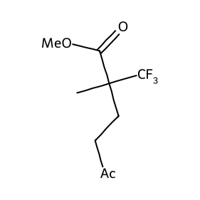 COC(=O)C(C)(CCC(C)=O)C(F)(F)F